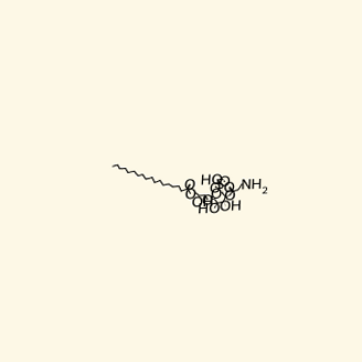 CCCCCCCCCCCCCCCCCC(=O)OCC(O)COC1O[C@H](CS(=O)(=O)O)[C@@H](OC(=O)CCN)[C@H](O)[C@H]1O